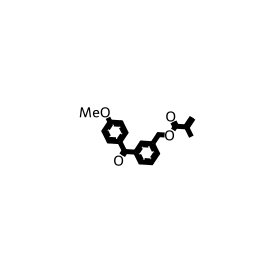 C=C(C)C(=O)OCc1cccc(C(=O)c2ccc(OC)cc2)c1